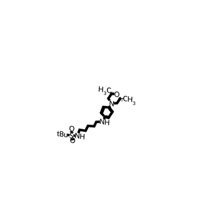 C[C@@H]1CN(c2ccc(NCCCCCNS(=O)(=O)C(C)(C)C)cc2)C[C@@H](C)O1